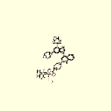 COC(=O)c1cc(N2CCOCC2)cc2c1ncn2-c1cc(N2CCN(C(=O)OC(C)(C)C)CC2)nc2ccccc12